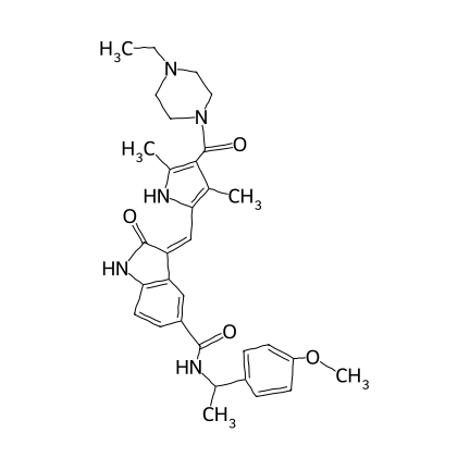 CCN1CCN(C(=O)c2c(C)[nH]c(C=C3C(=O)Nc4ccc(C(=O)NC(C)c5ccc(OC)cc5)cc43)c2C)CC1